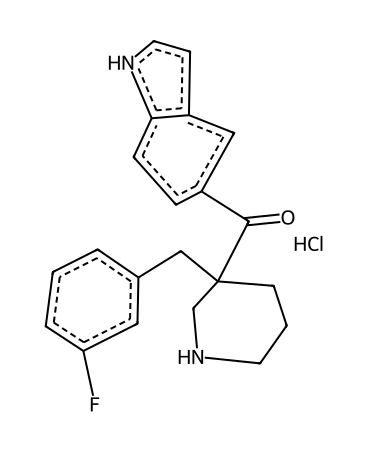 Cl.O=C(c1ccc2[nH]ccc2c1)C1(Cc2cccc(F)c2)CCCNC1